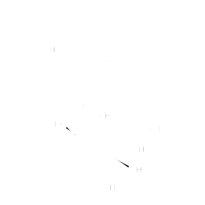 C=C[C@]1(C)C[C@@H](OC(=O)CSc2ccccc2CO)[C@]2(C)C(C)CCC3(CCC(=O)C32)[C@@H](C)[C@@H]1O